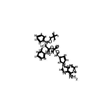 CC(C)(C)CON(c1ccccc1)[C@@H](Cc1ccccc1)C(=O)OP(N)(=O)OC[C@H]1C=C[C@@H](n2cnc3c(N)ncnc32)C1